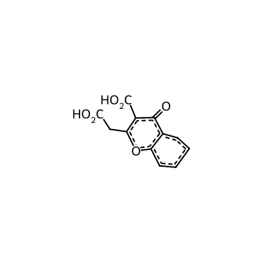 O=C(O)Cc1oc2ccccc2c(=O)c1C(=O)O